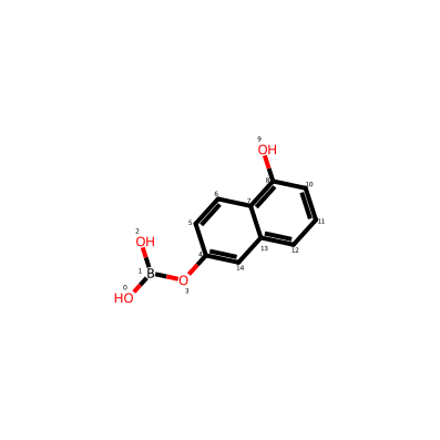 OB(O)Oc1ccc2c(O)cccc2c1